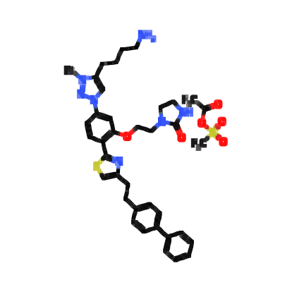 CC[n+]1nn(-c2ccc(-c3nc(CCc4ccc(-c5ccccc5)cc4)cs3)c(OCCN3CCNC3=O)c2)cc1CCCCN.O=C(OS(=O)(=O)C(F)(F)F)C(F)(F)F